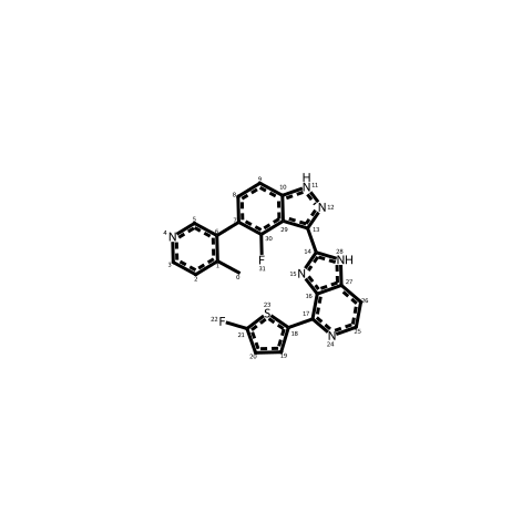 Cc1ccncc1-c1ccc2[nH]nc(-c3nc4c(-c5ccc(F)s5)nccc4[nH]3)c2c1F